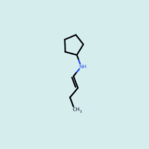 CC/C=C/NC1CCCC1